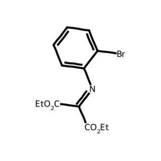 CCOC(=O)C(=Nc1ccccc1Br)C(=O)OCC